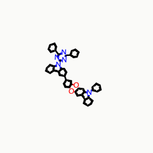 c1ccc(-c2nc(-c3ccccc3)nc(-n3c4ccccc4c4cc(-c5ccc6c(c5)Oc5cc7c(cc5O6)c5ccccc5n7-c5ccccc5)ccc43)n2)cc1